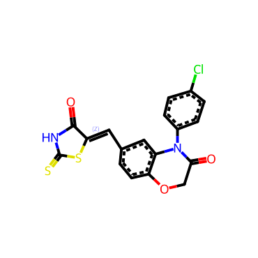 O=C1NC(=S)S/C1=C\c1ccc2c(c1)N(c1ccc(Cl)cc1)C(=O)CO2